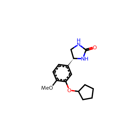 COc1ccc([C@@H]2CNC(=O)N2)cc1OC1CCCC1